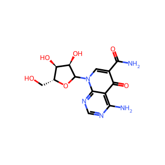 NC(=O)c1cn(C2O[C@H](CO)[C@@H](O)[C@H]2O)c2ncnc(N)c2c1=O